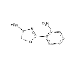 CCCCC1COC(c2ccccc2[N+](=O)[O-])=N1